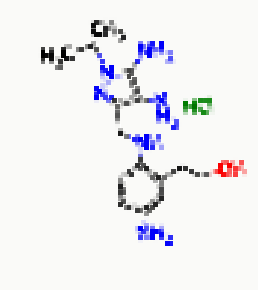 CC(C)n1nc(CNc2ccc(N)cc2CCO)c(N)c1N.Cl